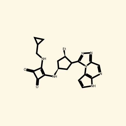 CC[C@@H]1C[C@H](Nc2c(NCC3CC3)c(=O)c2=O)CC1c1nnc2cnc3[nH]ccc3n12